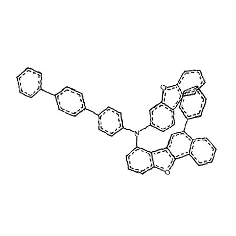 c1ccc(-c2ccc(-c3ccc(N(c4ccc5c(c4)oc4ccccc45)c4cccc5oc6c7ccccc7c(-c7ccccc7)cc6c45)cc3)cc2)cc1